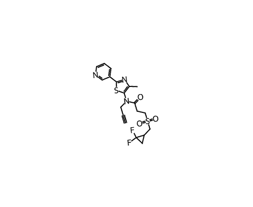 C#CCN(C(=O)CCS(=O)(=O)CC1CC1(F)F)c1sc(-c2cccnc2)nc1C